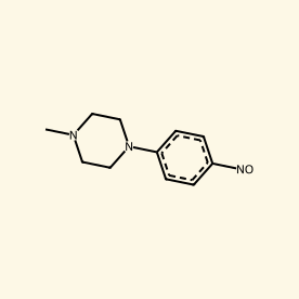 CN1CCN(c2ccc(N=O)cc2)CC1